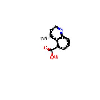 O=C(O)c1cccc2ncccc12.[NaH]